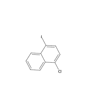 Clc1ccc(I)c2ccccc12